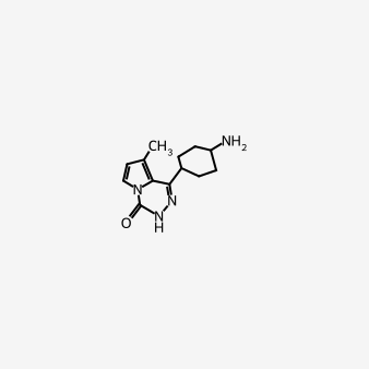 Cc1ccn2c(=O)[nH]nc(C3CCC(N)CC3)c12